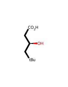 CC(C)(C)C[C@H](O)CC(=O)O